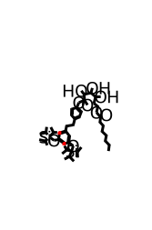 CCCCCCCC(=O)OCC1OC(Oc2ccc(CCc3cc(O[Si](C(C)C)(C(C)C)C(C)C)cc(O[Si](C(C)C)(C(C)C)C(C)C)c3)cc2)C(O)C(O)C1O